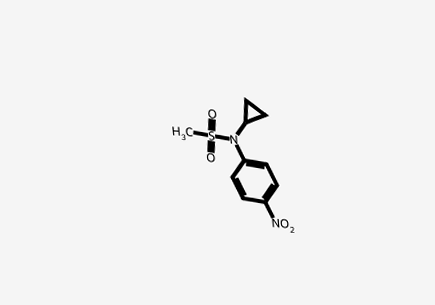 CS(=O)(=O)N(c1ccc([N+](=O)[O-])cc1)C1CC1